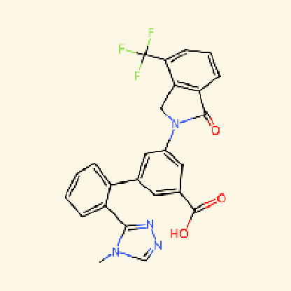 Cn1cnnc1-c1ccccc1-c1cc(C(=O)O)cc(N2Cc3c(cccc3C(F)(F)F)C2=O)c1